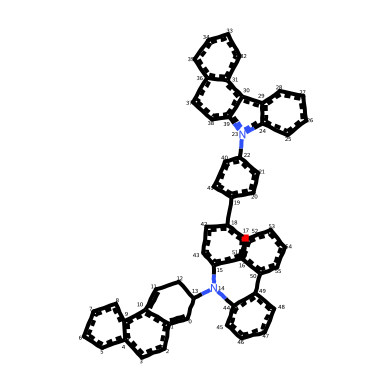 C1=c2ccc3ccccc3c2=CCC1N(c1ccc(-c2ccc(-n3c4ccccc4c4c5ccccc5ccc43)cc2)cc1)c1ccccc1-c1ccccc1